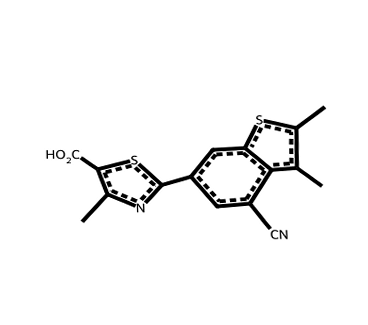 Cc1nc(-c2cc(C#N)c3c(C)c(C)sc3c2)sc1C(=O)O